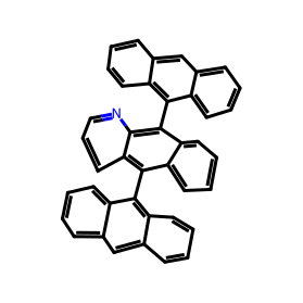 c1ccc2c(-c3c4ccccc4c(-c4c5ccccc5cc5ccccc45)c4ncccc34)c3ccccc3cc2c1